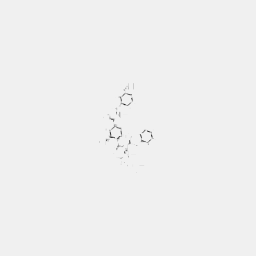 C[C@H](NN(C(=O)Cc1ccccc1)C(=O)c1ccc(C(=O)NCc2cccc(O)c2)cc1Cl)C(=O)O